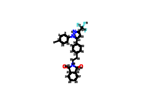 Cc1ccc(-n2nc(C(F)(F)F)cc2-c2ccc(CCN3C(=O)c4ccccc4C3=O)cc2)cc1